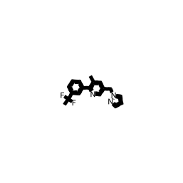 Cc1cc(Cn2cccn2)cnc1-c1cccc(C(C)(F)F)c1